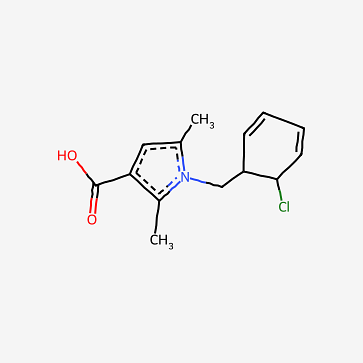 Cc1cc(C(=O)O)c(C)n1CC1C=CC=CC1Cl